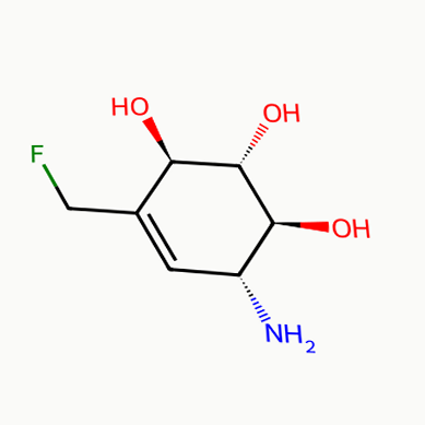 N[C@@H]1C=C(CF)[C@@H](O)[C@H](O)[C@H]1O